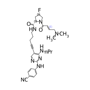 CCCNc1nc(Nc2ccc(C#N)cc2)ncc1C#CCCCNC(=O)[C@@H]1C[C@H](F)CN1C(=O)/C=C/CN(C)C